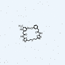 COc1cccc(CC(=O)Nc2nnc(CCSCCc3nnc(NC(=O)CC4=CC=CC(C)N4)s3)s2)c1